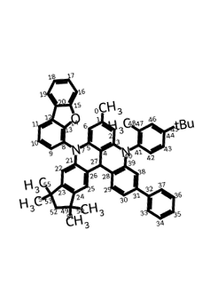 Cc1cc2c3c(c1)N(c1cccc4c1oc1ccccc14)c1cc4c(cc1C3c1ccc(-c3ccccc3)cc1N2c1ccc(C(C)(C)C)cc1C)C(C)(C)CC4(C)C